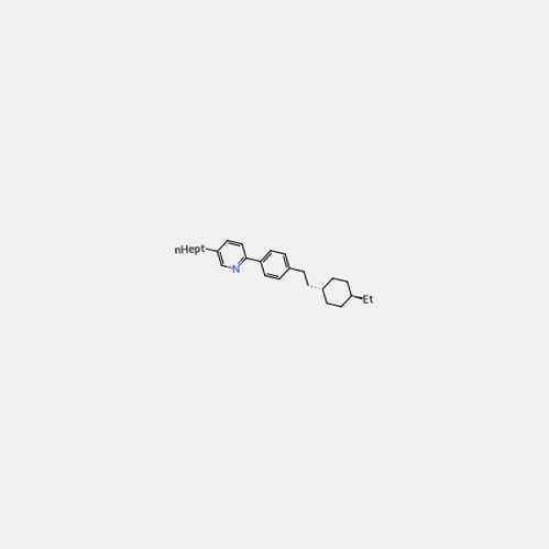 CCCCCCCc1ccc(-c2ccc(CC[C@H]3CC[C@H](CC)CC3)cc2)nc1